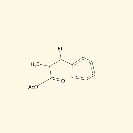 CCC(c1ccccc1)C(C)C(=O)OC(C)=O